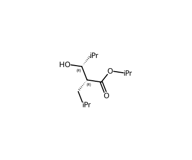 CC(C)C[C@@H](C(=O)OC(C)C)[C@H](O)C(C)C